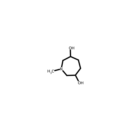 CN1CC(O)CCC(O)C1